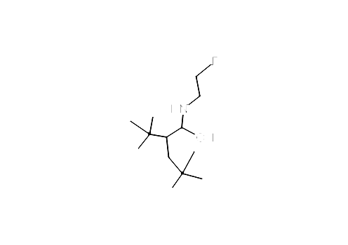 CC(C)(C)CC(C(O)NCCF)C(C)(C)C